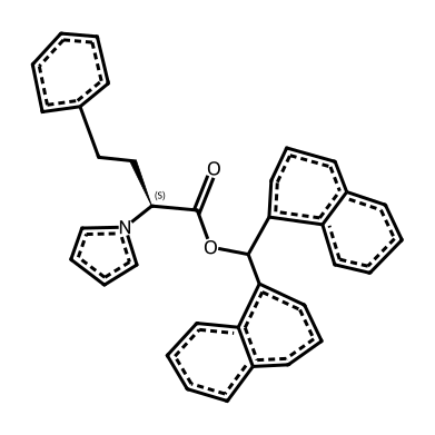 O=C(OC(c1cccc2ccccc12)c1cccc2ccccc12)[C@H](CCc1ccccc1)n1cccc1